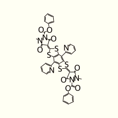 CN1C(=O)C(=C2Sc3c(c(-c4ccccn4)c4c(c3-c3ccccn3)SC(=C3C(=O)N(C)N(C(=O)Oc5ccccc5)C3=O)S4)S2)C(=O)N1C(=O)Oc1ccccc1